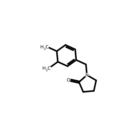 CC1C=CC(CN2CCCC2=O)=CC1C